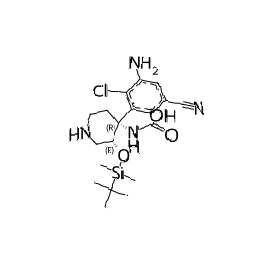 CC(C)(C)[Si](C)(C)O[C@@H]1CNCC[C@@]1(NC(=O)O)c1cc(C#N)cc(N)c1Cl